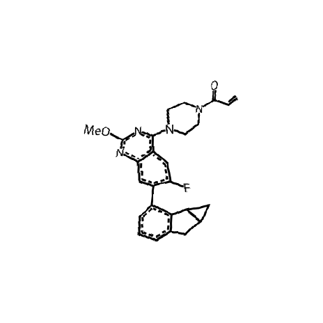 C=CC(=O)N1CCN(c2nc(OC)nc3cc(-c4cccc5c4C4CC4C5)c(F)cc23)CC1